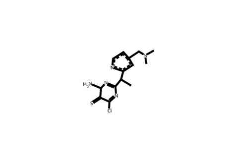 CC(C1=NC(N)C(=S)C(Cl)=N1)c1cc(CN(C)C)ccn1